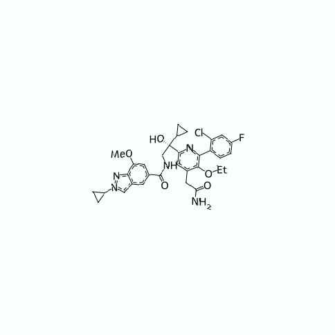 CCOc1c(CC(N)=O)cc([C@@](O)(CNC(=O)c2cc(OC)c3nn(C4CC4)cc3c2)C2CC2)nc1-c1ccc(F)cc1Cl